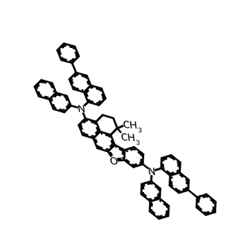 CC1(C)CCc2c(N(c3ccc4ccccc4c3)c3cccc4cc(-c5ccccc5)ccc34)ccc3cc4oc5cc(N(c6ccc7ccccc7c6)c6cccc7cc(-c8ccccc8)ccc67)ccc5c4c1c23